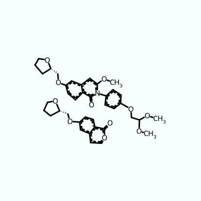 COc1cc2cc(OC[C@@H]3CCCO3)ccc2c(=O)n1-c1ccc(OCC(OC)OC)cc1.O=c1occc2cc(OC[C@@H]3CCCO3)ccc12